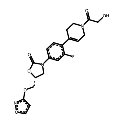 O=C(CO)N1CC=C(c2ccc(N3C[C@H](COc4ccon4)OC3=O)cc2F)CC1